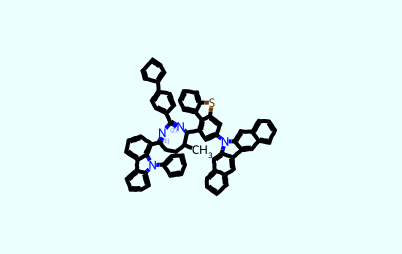 CC1CC/C(c2cccc3c4ccccc4n(-c4ccccc4)c23)=N\C(c2ccc(-c3ccccc3)cc2)=N/C1c1cc(-n2c3cc4ccccc4cc3c3cc4ccccc4cc32)cc2sc3ccccc3c12